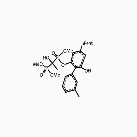 CCCCCc1cc(O)c(-c2cccc(C)c2)c(OP(=O)(OC)C(C)(O)P(=O)(OC)OC)c1